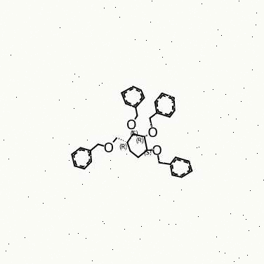 c1ccc(COC[C@H]2CC[C@H](OCc3ccccc3)[C@@H](OCc3ccccc3)[C@H]2OCc2ccccc2)cc1